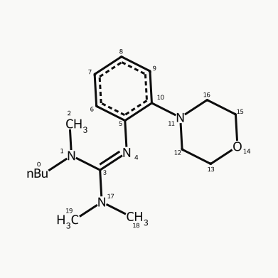 CCCCN(C)/C(=N\c1ccccc1N1CCOCC1)N(C)C